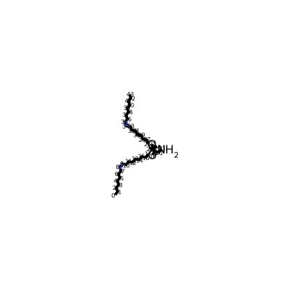 CCCCCCCC/C=C\CCCCCCCCOC(CN)C(C)(C)OCCCCCCCC/C=C\CCCCCCCC